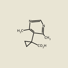 Cc1ncnc(C)c1C1(C(=O)O)CC1